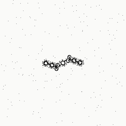 O=C(OCC1CCC(COC(=O)c2ccc(-c3ccccc3)cc2)CC1)c1ccc(-c2ccccc2)cc1